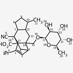 CC(C)C1=CC2CC3(C#N)C4CCC(C)C4CC2(CO[C@@H]2O[C@H](C)[C@@H](O)[C@@H](O)[C@@H]2O)C13C(=O)O